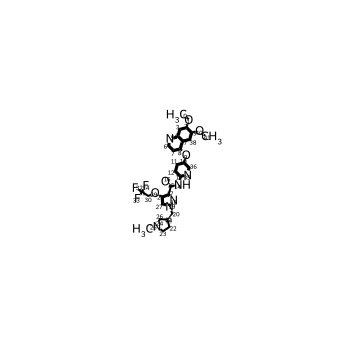 COc1cc2nccc(Oc3ccc(NC(=O)c4nn(C[C@H]5CCN(C)C5)cc4OCC(F)(F)F)nc3)c2cc1OC